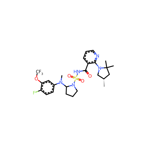 C[C@@H]1CN(c2ncccc2C(=O)NS(=O)(=O)N2CCCC2N(C)c2ccc(F)c(OC(F)(F)F)c2)C(C)(C)C1